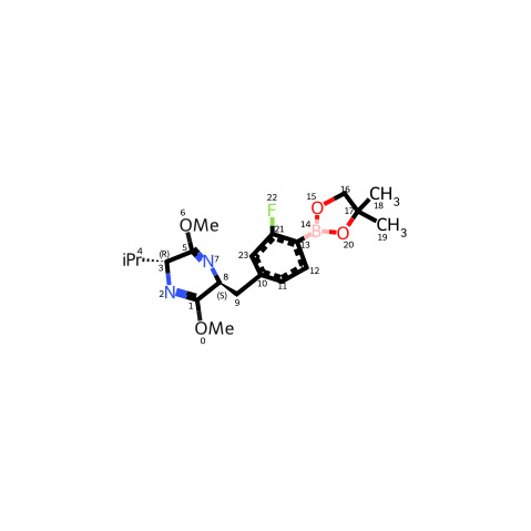 COC1=N[C@H](C(C)C)C(OC)=N[C@H]1Cc1ccc(B2OCC(C)(C)O2)c(F)c1